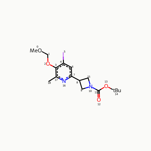 COCOc1c(I)cc(C2CN(C(=O)OC(C)(C)C)C2)nc1C